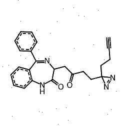 C#CCCC1(CCC(=O)CC2N=C(c3ccccc3)c3ccccc3NC2=O)N=N1